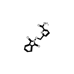 NC(=O)c1cccc(CON2C(=O)c3ccccc3C2=O)n1